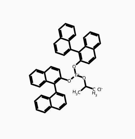 CC(C)[O][Ti+]([O]c1ccc2ccccc2c1-c1cccc2ccccc12)[O]c1ccc2ccccc2c1-c1cccc2ccccc12.[Cl-]